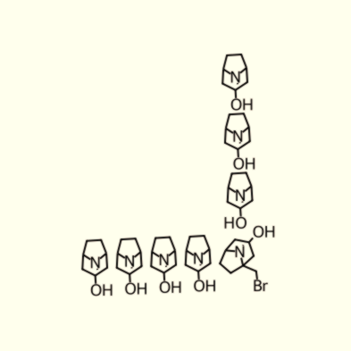 CN1C2CCC1(CBr)CC(O)C2.CN1C2CCC1CC(O)C2.CN1C2CCC1CC(O)C2.CN1C2CCC1CC(O)C2.CN1C2CCC1CC(O)C2.CN1C2CCC1CC(O)C2.CN1C2CCC1CC(O)C2.CN1C2CCC1CC(O)C2